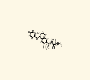 CC(c1ccc2c(c1)CCCN2Cc1ccccc1)N(O)C(N)=O